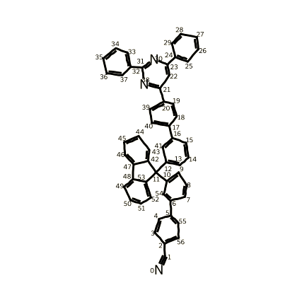 N#Cc1ccc(-c2cccc(C3(c4cccc(-c5ccc(-c6cc(-c7ccccc7)nc(-c7ccccc7)n6)cc5)c4)c4ccccc4-c4ccccc43)c2)cc1